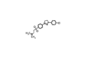 CN(C)CCS(=O)(=O)c1ccc(N2CCC(c3ccc(Cl)cc3)=N2)cc1